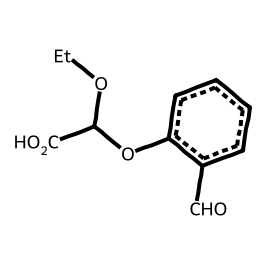 CCOC(Oc1ccccc1C=O)C(=O)O